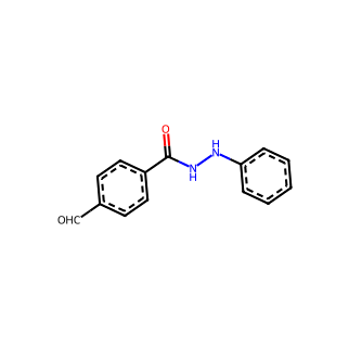 O=Cc1ccc(C(=O)NNc2ccccc2)cc1